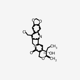 C=C1OCc2c(cc3n(c2=O)Cc2c-3nc3cc4c(cc3c2CCl)OCO4)[C@@]1(O)CC